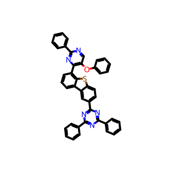 c1ccc(Oc2cnc(-c3ccccc3)nc2-c2cccc3c2sc2ccc(-c4nc(-c5ccccc5)nc(-c5ccccc5)n4)cc23)cc1